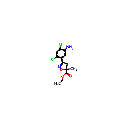 CCOC(=O)C1(C)CC(c2cc(N)c(Cl)cc2Cl)=NO1